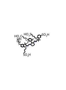 CC1(C)C(/C=C/C2=C(c3c(F)ccc(OCCCC(=O)O)c3F)C(=C/C=C3/N(CCCCS(=O)(=O)O)c4ccc(SOOO)cc4C3(C)C)/CCC2)=[N+](CCCCS(=O)(=O)O)c2ccc(S(=O)(=O)O)cc21